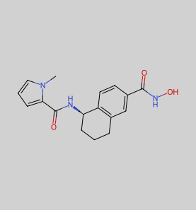 Cn1cccc1C(=O)N[C@@H]1CCCc2cc(C(=O)NO)ccc21